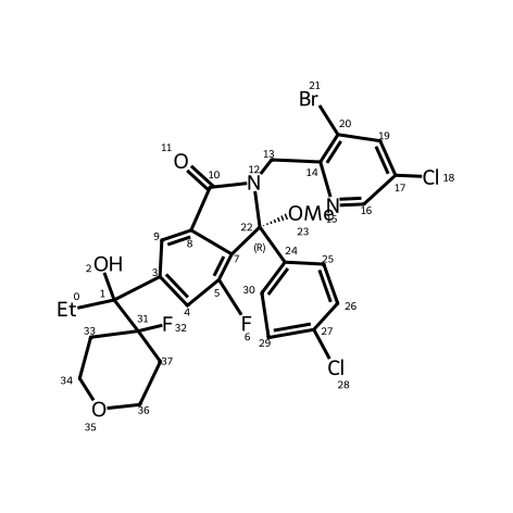 CCC(O)(c1cc(F)c2c(c1)C(=O)N(Cc1ncc(Cl)cc1Br)[C@@]2(OC)c1ccc(Cl)cc1)C1(F)CCOCC1